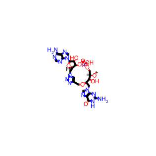 CO[C@@H]1COP(=O)(O)OC2C(O)[C@H](n3cnc4c(N)ncnc43)O[C@@H]2Cn2cc(nn2)COC(Cn2cnc3c(=O)[nH]c(N)nc32)C1O